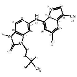 Cn1c(=O)n(CCC(C)(C)O)c2cc(Nc3cc(Cl)nc4c(C#N)cnn34)ccc21